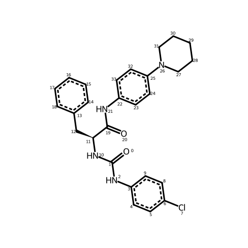 O=C(Nc1ccc(Cl)cc1)N[C@@H](Cc1ccccc1)C(=O)Nc1ccc(N2CCCCC2)cc1